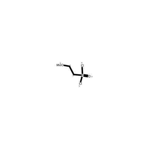 COCCP(=O)(Cl)Cl